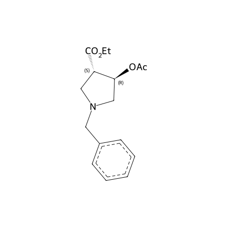 CCOC(=O)[C@H]1CN(Cc2ccccc2)C[C@@H]1OC(C)=O